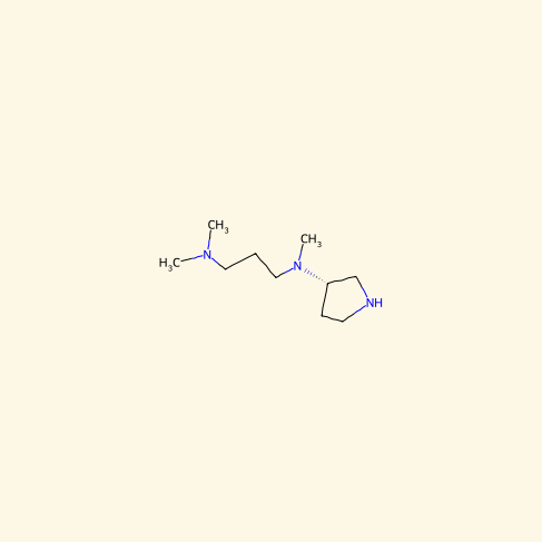 CN(C)CCCN(C)[C@H]1CCNC1